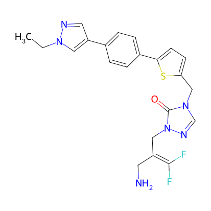 CCn1cc(-c2ccc(-c3ccc(Cn4cnn(CC(CN)=C(F)F)c4=O)s3)cc2)cn1